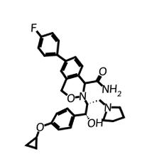 NC(=O)C1c2ccc(-c3ccc(F)cc3)cc2CON1[C@H](CN1CCCC1)[C@H](O)c1ccc(OC2CC2)cc1